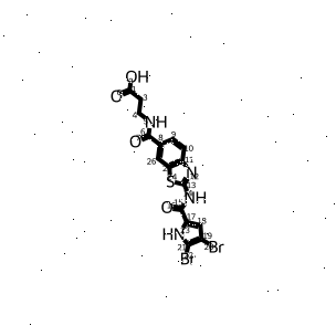 O=C(O)CCNC(=O)c1ccc2nc(NC(=O)c3cc(Br)c(Br)[nH]3)sc2c1